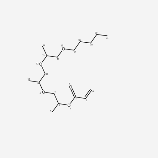 C=CC(=O)OC(C)COC(C)COC(C)COCCCCC